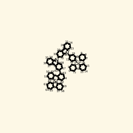 c1ccc([Si](c2ccccc2)(c2ccccc2)c2ccc(-n3c4ccccc4c4ccc(-n5c6ccccc6c6cc(-c7cccc8c7-c7ccccc7[Si]8(c7ccccc7)c7ccccc7)ccc65)cc43)cc2)cc1